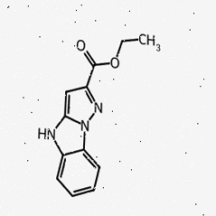 CCOC(=O)c1cc2[nH]c3ccccc3n2n1